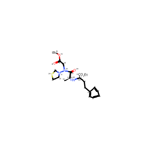 CCOC(=O)[C@H](CCc1ccccc1)N[C@@H](C)C(=O)N(CC(=O)OC(C)(C)C)N1CCSC1